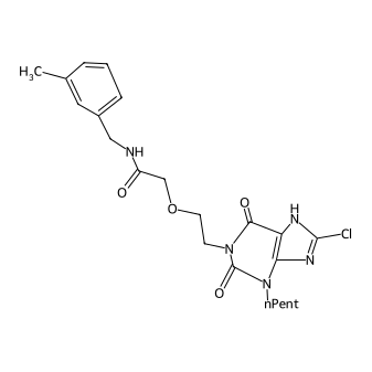 CCCCCn1c(=O)n(CCOCC(=O)NCc2cccc(C)c2)c(=O)c2[nH]c(Cl)nc21